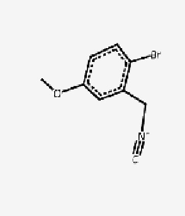 [C-]#[N+]Cc1cc(OC)ccc1Br